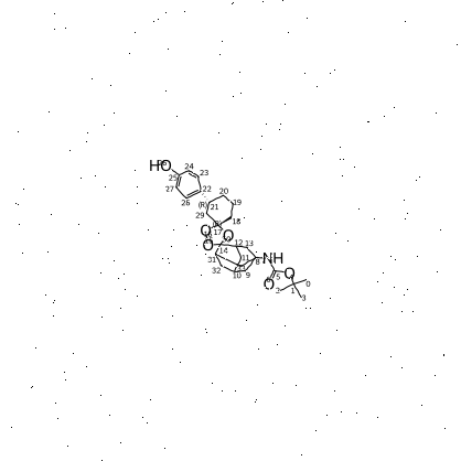 CC(C)(C)OC(=O)NC12CC3CC(C1)C1(OO[C@@]4(CCC[C@@H](c5ccc(O)cc5)C4)O1)C(C3)C2